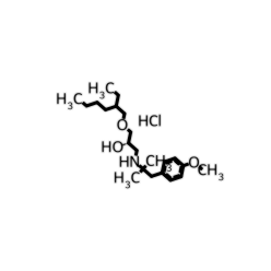 CCCCC(CC)COC[C@@H](O)CNC(C)(C)Cc1ccc(OC)cc1.Cl